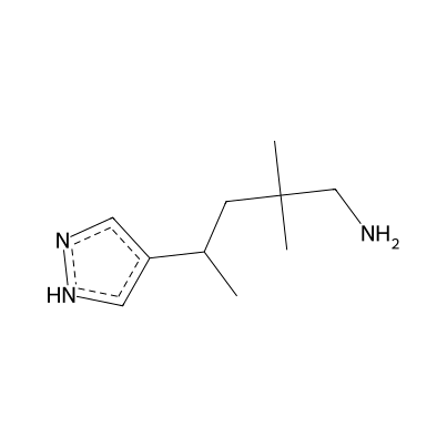 CC(CC(C)(C)CN)c1cn[nH]c1